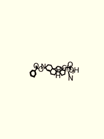 C[C@]12CCC3=C4CC/C(=N/OC(=O)c5ccccc5)C=C4CC[C@H]3[C@@H]1CC[C@]2(CC#N)CC(=O)O